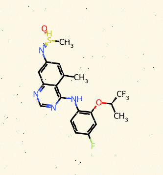 Cc1cc(/N=[SH](\C)=O)cc2ncnc(Nc3ccc(F)cc3O[C@H](C)C(F)(F)F)c12